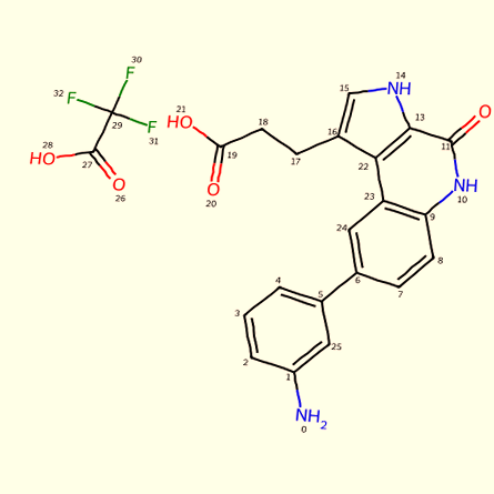 Nc1cccc(-c2ccc3[nH]c(=O)c4[nH]cc(CCC(=O)O)c4c3c2)c1.O=C(O)C(F)(F)F